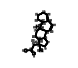 CC[C@]1(CC([O])=O)CCC2C3C=CC4=CCCC[C@@H]4C3CC[C@@]21C